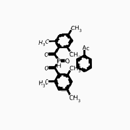 CC(=O)c1ccccc1.Cc1cc(C)c(C(=O)[PH](=O)C(=O)c2c(C)cc(C)cc2C)c(C)c1